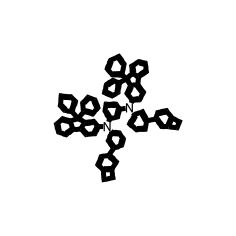 c1ccc(C2(c3ccccc3)c3ccccc3-c3ccc(N(c4cccc(-c5ccc6c(c5)CC6)c4)c4cccc(N(c5cccc(-c6ccc7c(c6)CC7)c5)c5ccc6c(c5)C(c5ccccc5)(c5ccccc5)c5ccccc5-6)c4)cc32)cc1